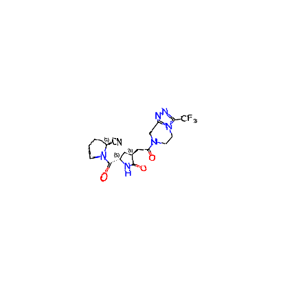 N#C[C@@H]1CCCN1C(=O)[C@@H]1C[C@@H](CC(=O)N2CCn3c(nnc3C(F)(F)F)C2)C(=O)N1